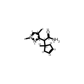 Cc1cn(C)nc1C(C(N)=O)C1(C)CC=CC1